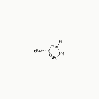 CCC(=CC(=O)C(C)(C)C)NC(C)CC